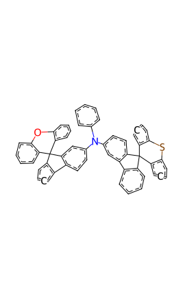 c1ccc(N(c2ccc3c(c2)-c2ccccc2C32c3ccccc3Sc3ccccc32)c2ccc3c(c2)C2(c4ccccc4Oc4ccccc42)c2ccccc2-3)cc1